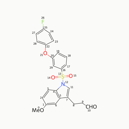 COc1ccc2c(c1)c(CCC=O)cn2S(=O)(=O)c1cccc(Oc2ccc(F)cc2)c1